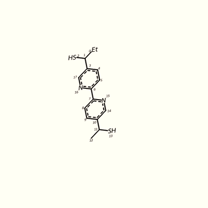 CCC(S)c1ccc(-c2ccc(C(C)S)cn2)nc1